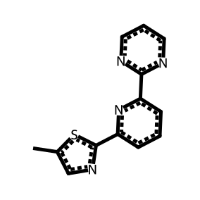 Cc1cnc(-c2cccc(-c3ncccn3)n2)s1